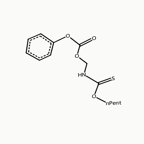 CCCCCOC(=S)NCOC(=O)Oc1ccccc1